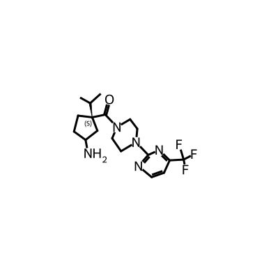 CC(C)[C@]1(C(=O)N2CCN(c3nccc(C(F)(F)F)n3)CC2)CCC(N)C1